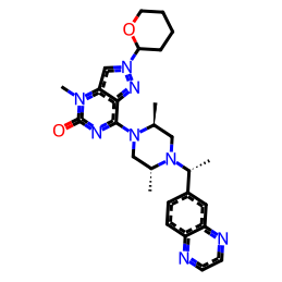 C[C@@H]1CN(c2nc(=O)n(C)c3cn(C4CCCCO4)nc23)[C@@H](C)CN1[C@H](C)c1ccc2nccnc2c1